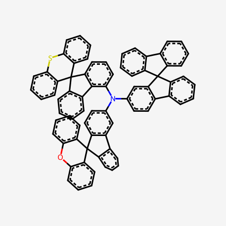 c1ccc2c(c1)Oc1ccccc1C21c2ccccc2-c2cc(N(c3ccc4c(c3)C3(c5ccccc5-c5ccccc53)c3ccccc3-4)c3cccc4c3-c3ccccc3C43c4ccccc4Sc4ccccc43)ccc21